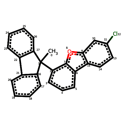 CC1(c2cccc3c2oc2cc(Cl)ccc23)c2ccccc2-c2ccccc21